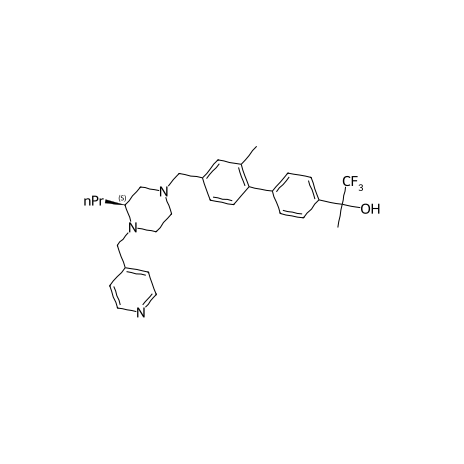 CCC[C@H]1CN(Cc2ccc(-c3ccc(C(C)(O)C(F)(F)F)cc3)c(C)c2)CCN1Cc1ccncc1